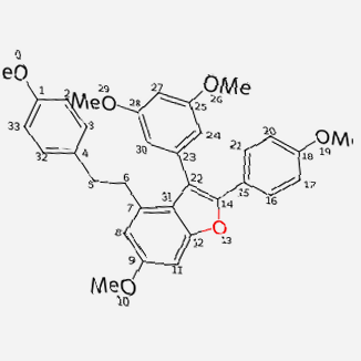 COc1ccc(CCc2cc(OC)cc3oc(-c4ccc(OC)cc4)c(-c4cc(OC)cc(OC)c4)c23)cc1